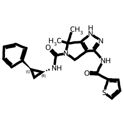 CC1(C)c2[nH]nc(NC(=O)c3cccs3)c2CN1C(=O)N[C@@H]1C[C@H]1c1ccccc1